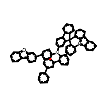 c1ccc(-c2cccc(-c3ccccc3N(c3ccc(-c4ccc5c(c4)oc4ccccc45)cc3)c3ccc4c(c3)C3(c5ccccc5-4)c4ccccc4-n4c5ccccc5c5cccc3c54)c2)cc1